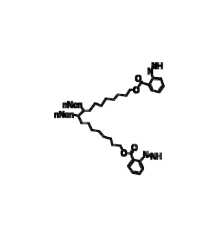 CCCCCCCCCC(CCCCCCCCOC(=O)c1ccccc1N=N)C(CCCCCCCCC)CCCCCCCCOC(=O)c1ccccc1N=N